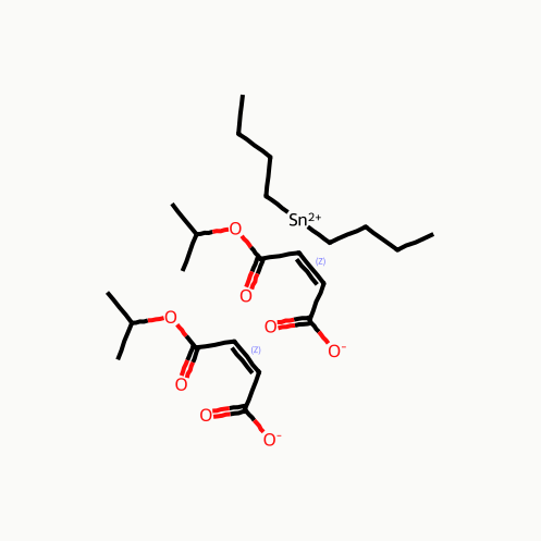 CC(C)OC(=O)/C=C\C(=O)[O-].CC(C)OC(=O)/C=C\C(=O)[O-].CCC[CH2][Sn+2][CH2]CCC